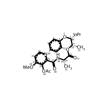 CCC[C@@H](Oc1ccccc1)[C@H](C)OC(=O)[C@H](C)NC(=O)c1nccc(OC)c1OC(C)=O